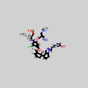 N#CCN/C=C(\C=N)COc1cc(OCc2cccc(-c3cccc4c3cnn4CCCCN3CC[C@@H](O)C3)c2Br)c(Cl)cc1CN[C@@H](CO)C(=O)O